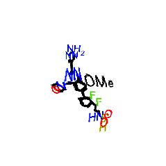 COc1cc(-c2cccc(C(F)CCN[SH](=O)=O)c2F)cc2c(N3CCOCC3)nc(-c3cnc(N)nc3)nc12